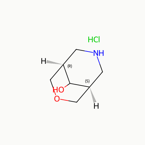 Cl.OC1[C@@H]2CNC[C@H]1COC2